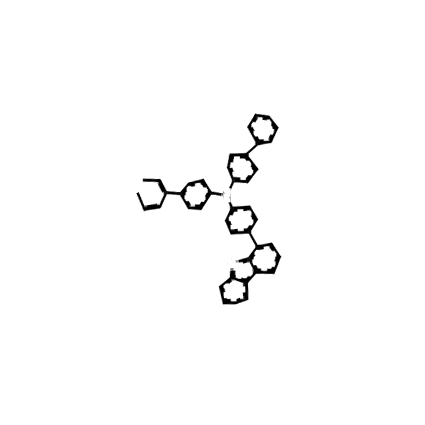 C/C=C\C(=C/C)c1ccc(N(c2ccc(-c3ccccc3)cc2)c2ccc(-c3cccc4c3oc3ccccc34)cc2)cc1